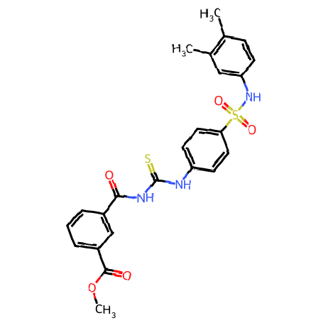 COC(=O)c1cccc(C(=O)NC(=S)Nc2ccc(S(=O)(=O)Nc3ccc(C)c(C)c3)cc2)c1